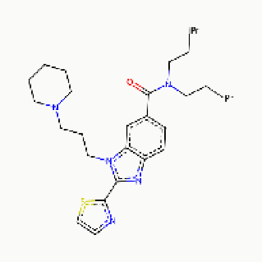 CC(C)CCN(CCC(C)C)C(=O)c1ccc2nc(-c3nccs3)n(CCCN3CCCCC3)c2c1